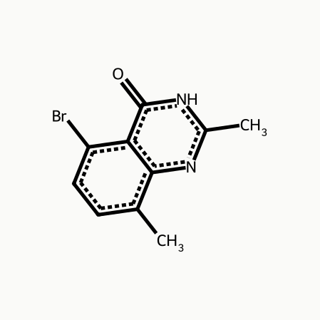 Cc1nc2c(C)ccc(Br)c2c(=O)[nH]1